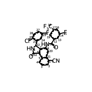 N#Cc1cccc2c3c(c(NC(=O)c4cc(F)cc(C(F)(F)F)c4)cc12)C(c1cc(F)ccc1Cl)NC3=O